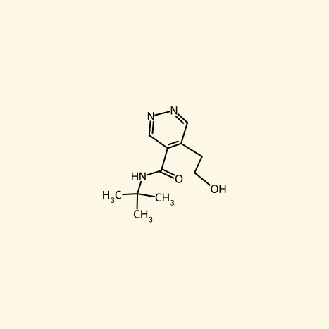 CC(C)(C)NC(=O)c1cnncc1CCO